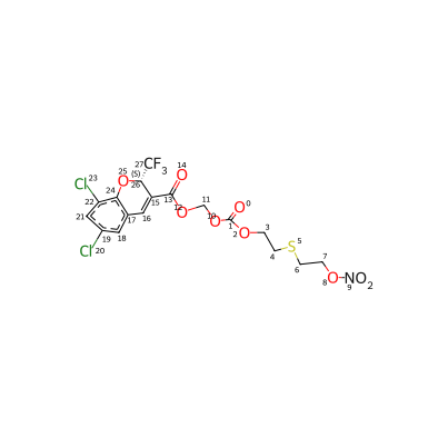 O=C(OCCSCCO[N+](=O)[O-])OCOC(=O)C1=Cc2cc(Cl)cc(Cl)c2O[C@@H]1C(F)(F)F